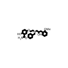 COc1ccccc1CC(O)CN(CCOc1ccc(O)c(C(N)=O)c1)Cc1ccccc1